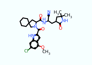 COc1cc(Cl)cc2[nH]c(C(=O)N3CC4(CCCCC4)CC3C(=O)NC(C#N)CC3CC(C)(C)NC3=O)cc12